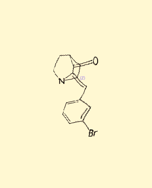 O=C1/C(=C/c2cccc(Br)c2)N2CCC1CC2